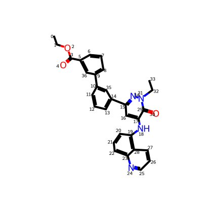 CCOC(=O)c1cccc(-c2cccc(-c3cc(Nc4cccc5ncccc45)c(=O)n(CC)n3)c2)c1